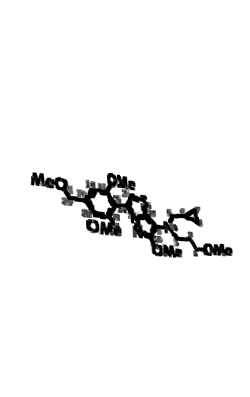 COCCCN(CC1CC1)c1c(OC)nn2c(-c3c(OC)cc(COC)cc3OC)csc12